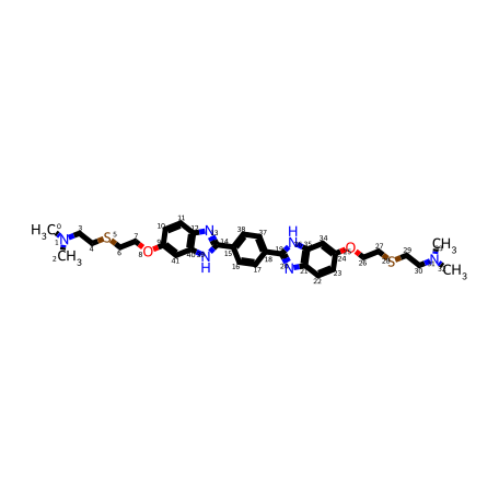 CN(C)CCSCCOc1ccc2nc(-c3ccc(-c4nc5ccc(OCCSCCN(C)C)cc5[nH]4)cc3)[nH]c2c1